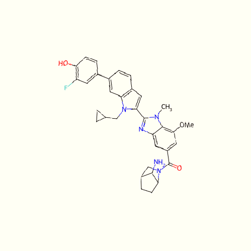 COc1cc(C(=O)N2CC3CCC2C3N)cc2nc(-c3cc4ccc(-c5ccc(O)c(F)c5)cc4n3CC3CC3)n(C)c12